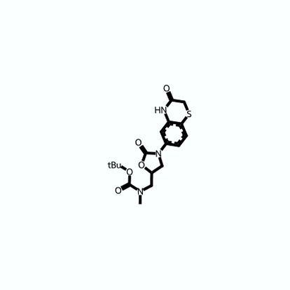 CN(CC1CN(c2ccc3c(c2)NC(=O)CS3)C(=O)O1)C(=O)OC(C)(C)C